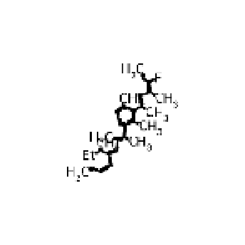 C=C\C=C/C(=C/C(C)=C(\C)c1ccc(C)c(/C(C)=C/C(C)=C(/F)C=C)c1C)C(=C)CC